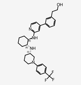 OCCc1cccc(-c2ccnc(N[C@@H]3CCCC[C@H]3N[C@H]3CCCN(c4ccc(C(F)(F)F)cc4)C3)c2)c1